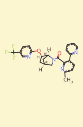 Cc1ccc(-c2ccccn2)c(C(=O)N2C[C@H]3C[C@@H](Oc4ccc(C(F)(F)F)cn4)[C@@H]2C3)n1